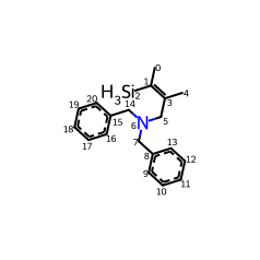 CC([SiH3])=C(C)CN(Cc1ccccc1)Cc1ccccc1